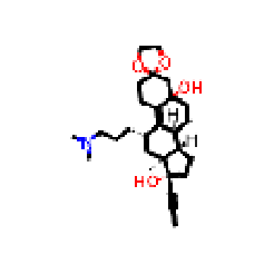 CC#C[C@]1(O)CC[C@H]2[C@@H]3CC[C@@]4(O)CC5(CCC4=C3[C@@H](CCCN(C)C)C[C@@]21C)OCCO5